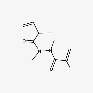 C=CC(C)C(=O)N(C)N(C)C(=O)C(=C)C